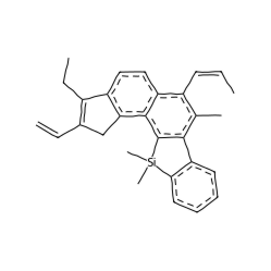 C=CC1=C(CC)c2ccc3c(/C=C\C)c(C)c4c(c3c2C1)[Si](C)(C)c1ccccc1-4